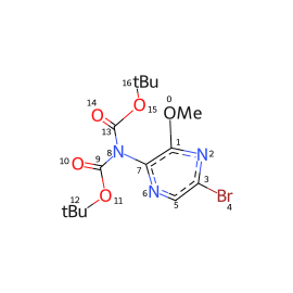 COc1nc(Br)cnc1N(C(=O)OC(C)(C)C)C(=O)OC(C)(C)C